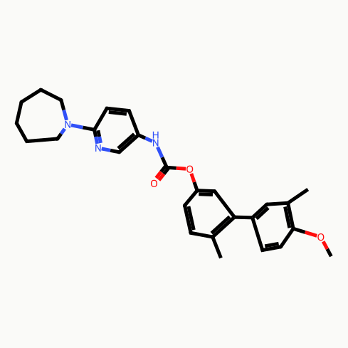 COc1ccc(-c2cc(OC(=O)Nc3ccc(N4CCCCCC4)nc3)ccc2C)cc1C